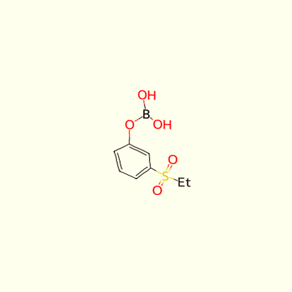 CCS(=O)(=O)c1cccc(OB(O)O)c1